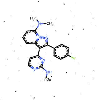 CCCCNc1nccc(-c2c(-c3ccc(F)cc3)nn3c(N(C)C)cccc23)n1